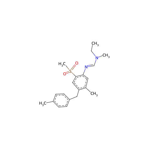 CCN(C)C=Nc1cc(C)c(Cc2ccc(C)cc2)cc1S(C)(=O)=O